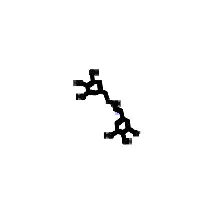 Oc1cc(CSN/C=C/c2cc(O)c(O)c(Br)c2)cc(O)c1O